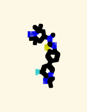 Cc1cn2cc(-c3ccc4nc(N(C)C5CC(C)(C)NC(C)(C)C5)sc4c3)cc(F)c2n1